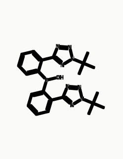 CC(C)(C)n1nnc(-c2ccccc2B(O)c2ccccc2-c2nnn(C(C)(C)C)n2)n1